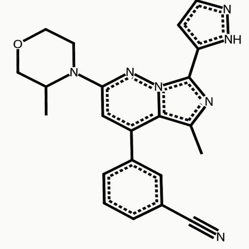 Cc1nc(-c2ccn[nH]2)n2nc(N3CCOCC3C)cc(-c3cccc(C#N)c3)c12